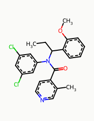 CCC(c1ccccc1OC)N(C(=O)c1ccncc1C)c1cc(Cl)cc(Cl)c1